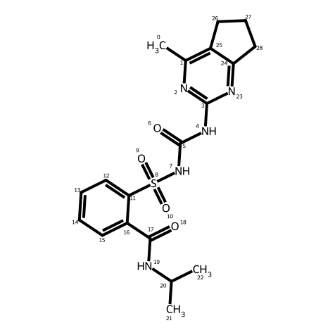 Cc1nc(NC(=O)NS(=O)(=O)c2ccccc2C(=O)NC(C)C)nc2c1CCC2